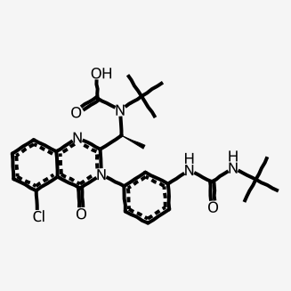 C[C@@H](c1nc2cccc(Cl)c2c(=O)n1-c1cccc(NC(=O)NC(C)(C)C)c1)N(C(=O)O)C(C)(C)C